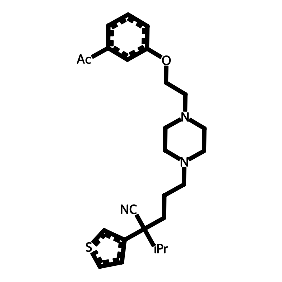 CC(=O)c1cccc(OCCN2CCN(CCCC(C#N)(c3ccsc3)C(C)C)CC2)c1